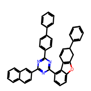 C1=CC(c2ccccc2)Cc2oc3cccc(-c4nc(-c5ccc(-c6ccccc6)cc5)nc(-c5ccc6ccccc6c5)n4)c3c21